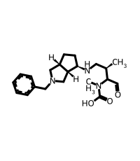 C[C@H](CN[C@@H]1CC[C@H]2CN(Cc3ccccc3)C[C@H]21)C(C=O)N(C)C(=O)O